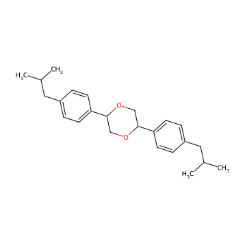 CC(C)Cc1ccc(C2COC(c3ccc(CC(C)C)cc3)CO2)cc1